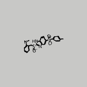 Cc1ccc(S(=O)(=O)c2ccc3[nH]c([S+]([O-])Cc4ccccc4N(C)C)nc3c2)cc1